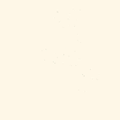 Cc1ccccc1-c1ccccc1/N=C/Cc1cc(/C=C/n2c3ccccc3c3ccccc32)cc(-c2ccc(/C=C/CP(=O)(c3ccccc3)c3ccccc3)cc2)c1